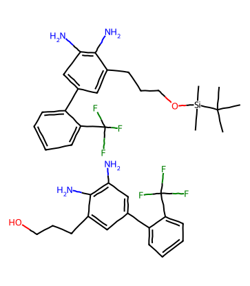 CC(C)(C)[Si](C)(C)OCCCc1cc(-c2ccccc2C(F)(F)F)cc(N)c1N.Nc1cc(-c2ccccc2C(F)(F)F)cc(CCCO)c1N